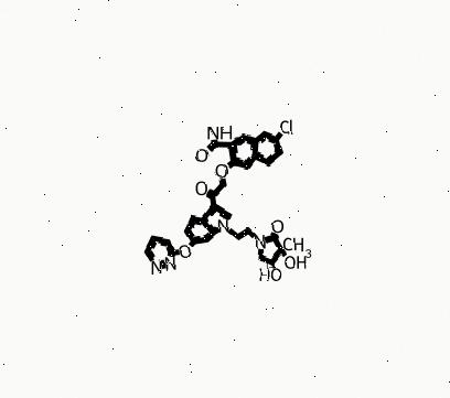 CC1(O)C(=O)N(CCn2cc(C(=O)COc3cc4ccc(Cl)cc4cc3C(N)=O)c3ccc(Oc4cccnn4)cc32)C[C@@H]1O